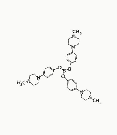 CN1CCN(c2ccc(OB(Oc3ccc(N4CCN(C)CC4)cc3)Oc3ccc(N4CCN(C)CC4)cc3)cc2)CC1